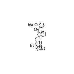 CCNC(=N)N(CC)C1CCC(CNC(=O)c2ccccc2OC)(c2ccccc2)CC1